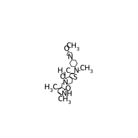 CCN(c1sc2c(c1C)C(=O)N(Cc1c(C)cc(C)[nH]c1=O)CC2)[C@H]1CC[C@H](N2CC(OC)C2)CC1